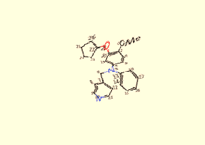 COc1ccc(N(Cc2ccncc2)c2ccccc2)cc1OC1CCCC1